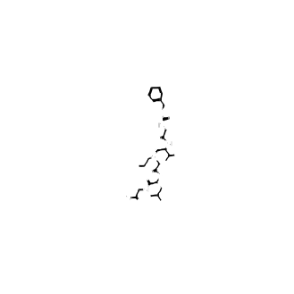 CCCN(CC(=O)N[C@@H](CC(C)C)C(=O)NCC(N)=O)C(=O)C(NC(=O)CNC(=O)OCc1ccccc1)C(C)C